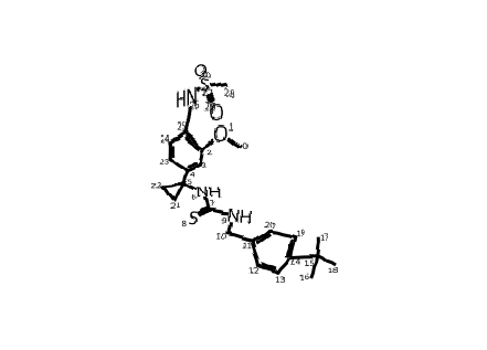 COc1cc(C2(NC(=S)NCc3ccc(C(C)(C)C)cc3)CC2)ccc1NS(C)(=O)=O